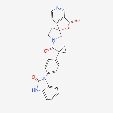 O=C1OC2(CCN(C(=O)C3(c4ccc(-n5c(=O)[nH]c6ccccc65)cc4)CC3)C2)c2ccncc21